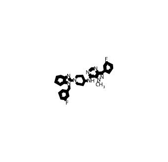 Cn1nc(-c2cccc(F)c2)c2ncnc(NC3CCN(c4nc5ccccc5n4Cc4cccc(F)c4)CC3)c21